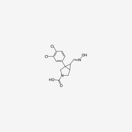 O=C(O)N1CC2C(C=NO)C2(c2ccc(Cl)c(Cl)c2)C1